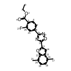 CCOC(=O)c1ccc(-c2noc(-c3cc4c(C)ccc(C)c4o3)n2)cc1F